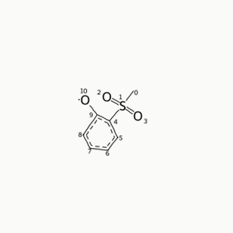 CS(=O)(=O)c1ccccc1[O]